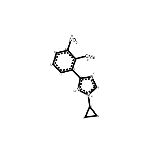 COc1c(-c2ncn(C3CC3)n2)cccc1[N+](=O)[O-]